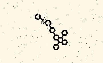 c1ccc(-c2nc3cc(-c4ccc(-c5ccc6c(-c7ccccc7)c7ccccc7c(-c7ccccc7)c6c5)cc4)ccc3[nH]2)cc1